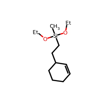 CCO[Si](C)(CCC1C=CCCC1)OCC